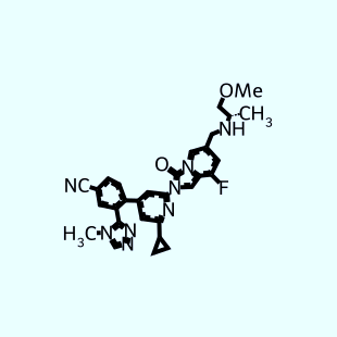 COC[C@H](C)NCc1cc(F)c2cn(-c3cc(-c4ccc(C#N)cc4-c4nncn4C)cc(C4CC4)n3)c(=O)n2c1